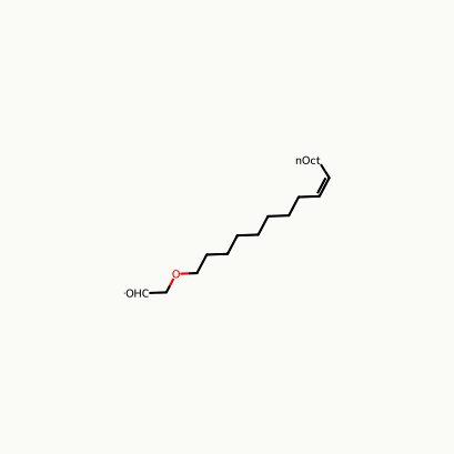 CCCCCCCC/C=C\CCCCCCCCOC[C]=O